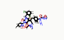 COCCN(C)Cc1c(-c2ccc(NC(=O)NOC)cc2)sc2c1c(=O)n(-c1ccc(C)cn1)c(=O)n2Cc1c(F)cccc1F